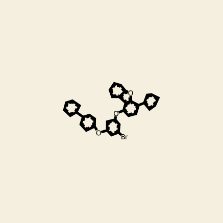 Brc1cc(Oc2ccc(-c3ccccc3)cc2)cc(Oc2ccc(-c3ccccc3)c3oc4ccccc4c23)c1